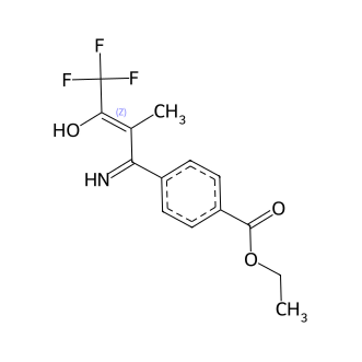 CCOC(=O)c1ccc(C(=N)/C(C)=C(\O)C(F)(F)F)cc1